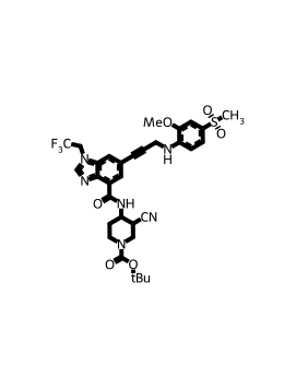 COc1cc(S(C)(=O)=O)ccc1NCC#Cc1cc(C(=O)NC2CCN(C(=O)OC(C)(C)C)CC2C#N)c2ncn(CC(F)(F)F)c2c1